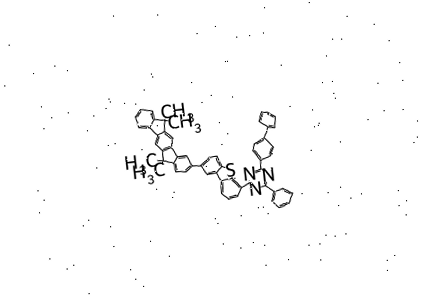 CC1(C)c2ccccc2-c2cc3c(cc21)-c1cc(-c2ccc4sc5c(-c6nc(-c7ccccc7)nc(-c7ccc(-c8ccccc8)cc7)n6)cccc5c4c2)ccc1C3(C)C